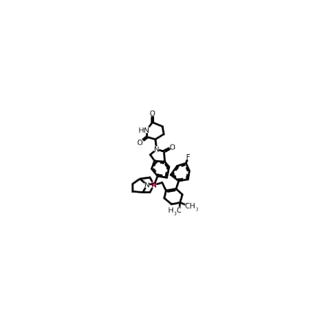 CC1(C)CCC(CN2CC3CCC(C2)N3Cc2ccc3c(c2)CN(C2CCC(=O)NC2=O)C3=O)=C(c2ccc(F)cc2)C1